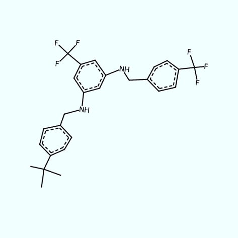 CC(C)(C)c1ccc(CNc2cc(NCc3ccc(C(F)(F)F)cc3)cc(C(F)(F)F)c2)cc1